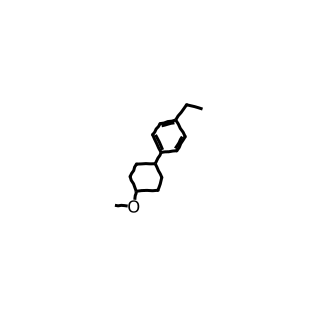 CCc1ccc(C2CCC(OC)CC2)cc1